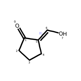 O=C1CCC/C1=C\O